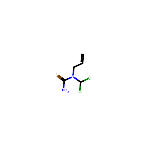 C=CCN(C(N)=S)C(Cl)Cl